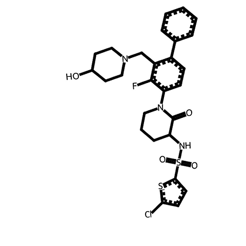 O=C1C(NS(=O)(=O)c2ccc(Cl)s2)CCCN1c1ccc(-c2ccccc2)c(CN2CCC(O)CC2)c1F